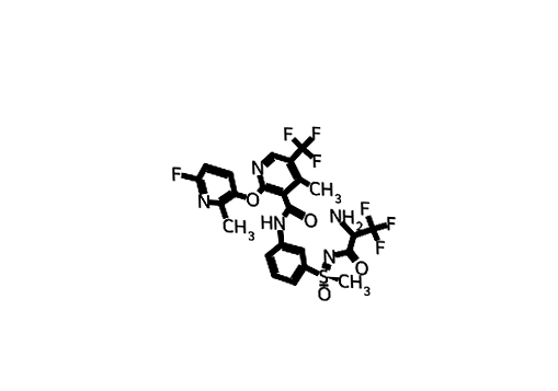 Cc1nc(F)ccc1Oc1ncc(C(F)(F)F)c(C)c1C(=O)Nc1cccc([S@@](C)(=O)=NC(=O)C(N)C(F)(F)F)c1